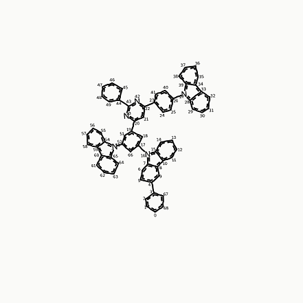 c1ccc(-c2ccc3c(c2)c2ccccc2n3-c2cc(-c3cc(-c4ccc(-n5c6ccccc6c6ccccc65)cc4)nc(-c4ccccc4)n3)cc(-n3c4ccccc4c4ccccc43)c2)cc1